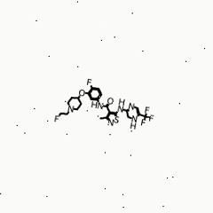 Cc1nsc(NC2=NC=C(C(F)(F)F)NC2)c1C(=O)Nc1ccc(F)c(OC2CCN(CCF)CC2)c1